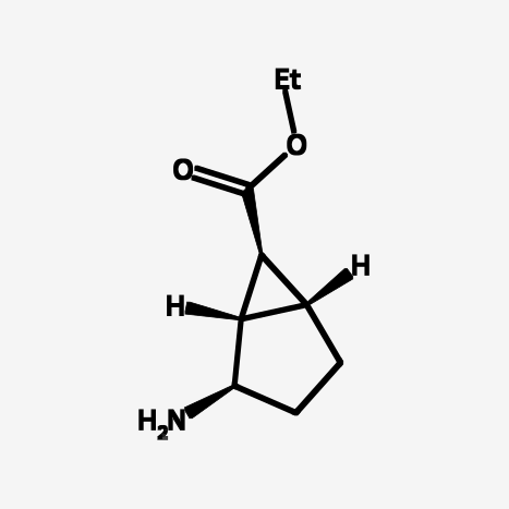 CCOC(=O)[C@H]1[C@@H]2CC[C@@H](N)[C@@H]21